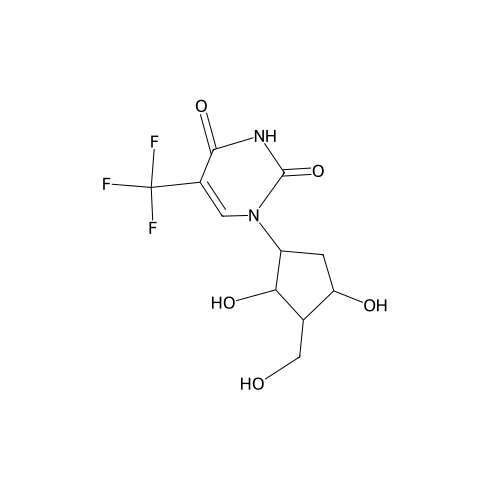 O=c1[nH]c(=O)n(C2CC(O)C(CO)C2O)cc1C(F)(F)F